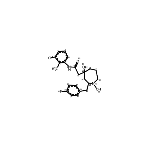 Cc1c(Cl)cccc1NC(=O)CC1(O)CCCN(O)C(Cc2ccc(F)cc2)C1